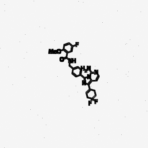 COc1ccc(F)cc1C(=O)NCc1ccc(-c2nc(C3=CCC(F)(F)CC3)c3ccnc(N)n23)cc1